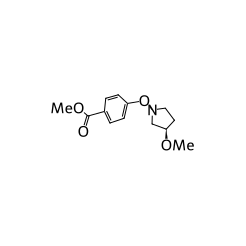 COC(=O)c1ccc(ON2CC[C@@H](OC)C2)cc1